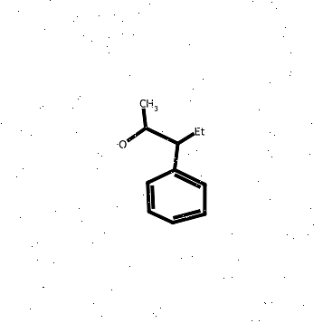 CCC(c1ccccc1)C(C)[O]